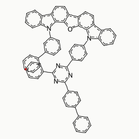 c1ccc(-c2ccc(-c3nc(-c4ccccc4)nc(-c4ccc(-n5c6ccccc6c6ccc7c8ccc9c%10ccccc%10n(-c%10cccc(-c%11ccccc%11)c%10)c9c8oc7c65)cc4)n3)cc2)cc1